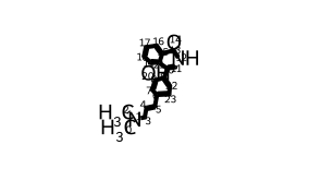 CN(C)CC=Cc1ccc(-c2c[nH]c(=O)c3cccc(O)c23)cc1